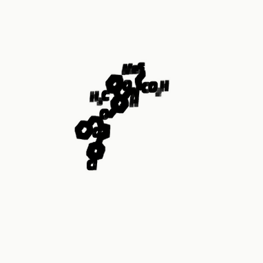 CSCCC(NC(=O)c1ccc(COC(CC2CCCCC2)c2ccc(-c3ccc(Cl)cc3)o2)cc1-c1ccccc1C)C(=O)O